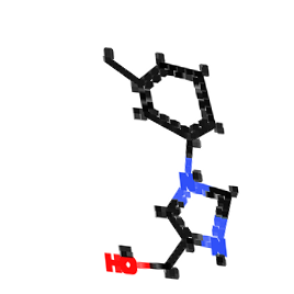 Cc1cccc(-n2cnc(CO)c2)c1